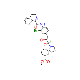 COC(=O)C1CCC(OC(F)(C(=O)Cc2ccc(NC(=O)c3nccc4ccccc34)c(Br)c2)N2CCCC2)CC1